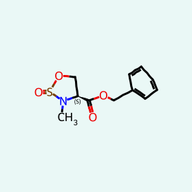 CN1[C@H](C(=O)OCc2ccccc2)COS1=O